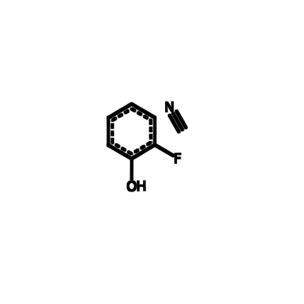 C#N.Oc1ccccc1F